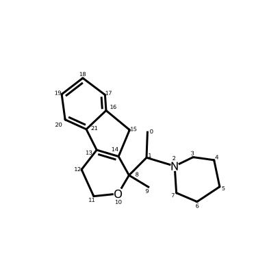 CC(N1CCCCC1)C1(C)OCCC2=C1Cc1ccccc12